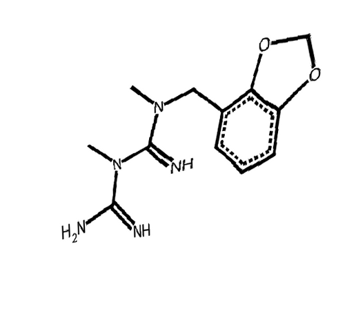 CN(Cc1cccc2c1OCO2)C(=N)N(C)C(=N)N